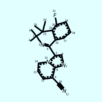 CC1(C)N=C(c2cnc3c(C#N)cccn23)c2cccc(F)c2C1(C)C